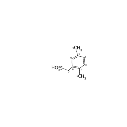 Cc1ccc(C)c(CS(=O)(=O)O)c1